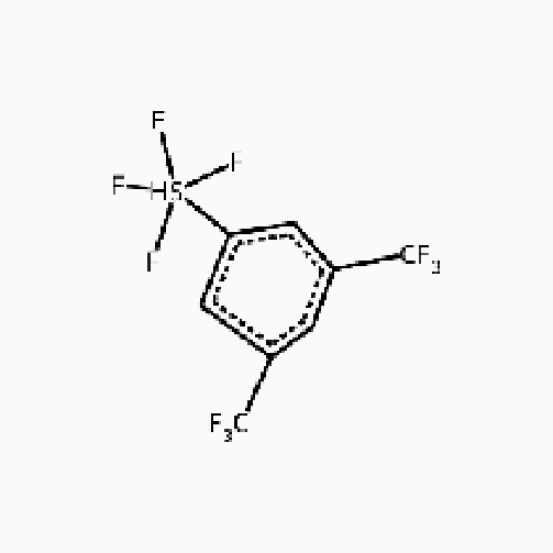 FC(F)(F)c1cc(C(F)(F)F)cc([SH](F)(F)(F)F)c1